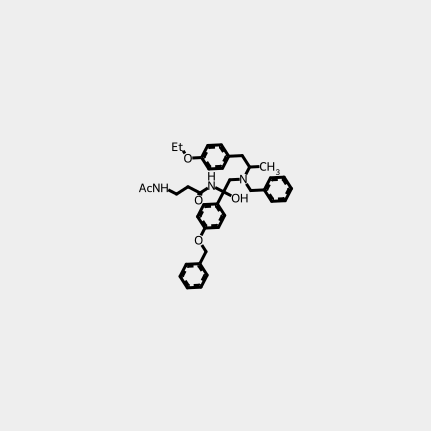 CCOc1ccc(CC(C)N(Cc2ccccc2)CC(O)(NC(=O)CCNC(C)=O)c2ccc(OCc3ccccc3)cc2)cc1